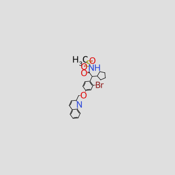 CS(=O)(=O)NC(=O)C(c1ccc(OCc2ccc3ccccc3n2)cc1Br)C1CCCC1